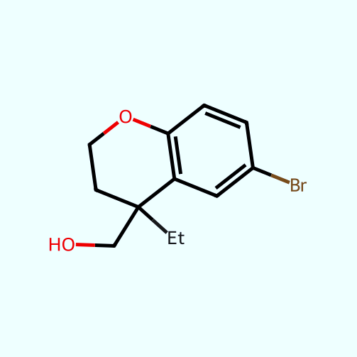 CCC1(CO)CCOc2ccc(Br)cc21